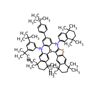 CC(C)(C)c1cc(N2c3cc4c(cc3B3c5c2cc(-c2ccc([Si](C)(C)C)cc2)cc5N(c2ccc5c(c2)C(C)(C)CCC5(C)C)c2sc5cc6c(cc5c23)C(C)(C)CCC6(C)C)C(C)(C)CCC4(C)C)cc(C(C)(C)C)c1